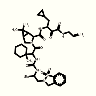 C=CCNC(=O)C(=O)C(CC1CC1)NC(=O)C1C2C(CN1C(=O)C(NC(=O)NC(CN1Cc3ccccc3S1(=O)=O)C(C)(C)C)C1(C)CCCCC1)C2(C)C